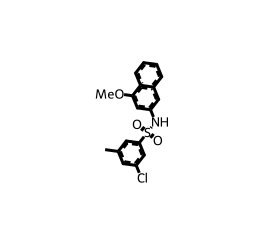 COc1cc(NS(=O)(=O)c2cc(C)cc(Cl)c2)cc2ccccc12